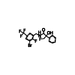 O=C(NCc1cc(C(F)(F)F)cc(Br)c1F)C(O)(CF)c1ccccc1